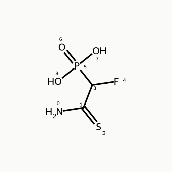 NC(=S)C(F)P(=O)(O)O